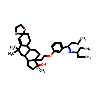 CCCC(NC(CC)CC)c1cccc(OCCC23CCC4C5CCC6(C=C5C(C)(C)CC4C2CC[C@]3(C)O)SCCS6)c1